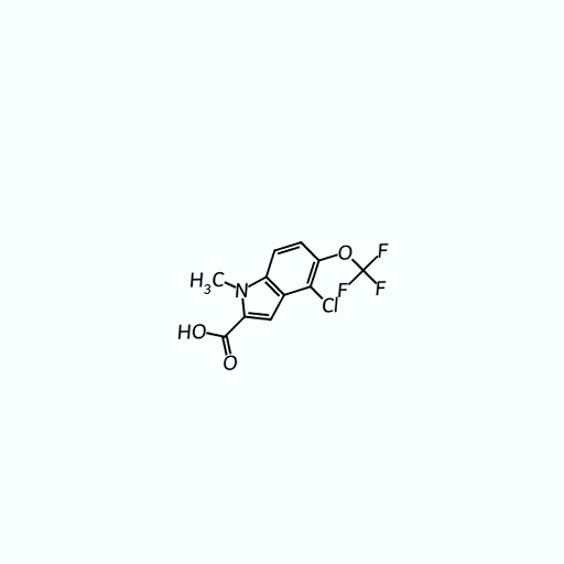 Cn1c(C(=O)O)cc2c(Cl)c(OC(F)(F)F)ccc21